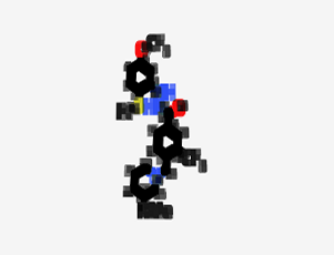 CCSc1ccc(OC(F)(F)F)cc1NNC(=O)c1ccc(CN2CCC[C@H](NC)C2)c(C(F)(F)F)c1